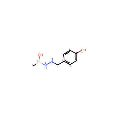 CB(O)NNCc1ccc(O)cc1